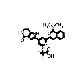 CN(C)C(=O)c1ccccc1/C=C/c1cc(-c2cc3c([nH]2)CCNC3=O)ccn1.O=C(O)C(F)(F)F